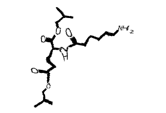 CC(C)COC(=O)CCC(NC(=O)CCCCCN)C(=O)OCC(C)C